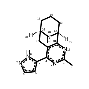 Cc1nc(-c2ccn[nH]2)c2c(n1)[C@@H]1CCC[C@H](C2)N1